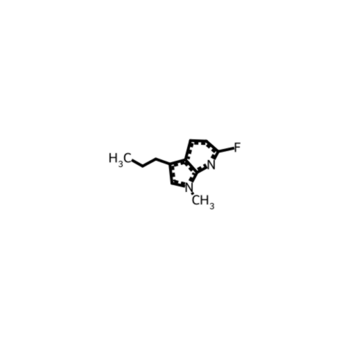 CCCc1cn(C)c2nc(F)ccc12